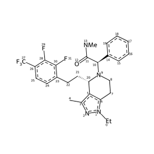 CCn1nc(C)c2c1CCN([C@@H](C(=O)NC)c1ccccc1)[C@H]2CCc1ccc(C(F)(F)F)c(F)c1F